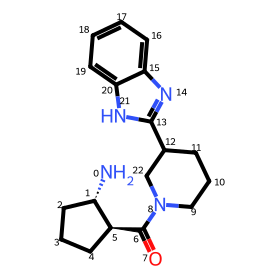 N[C@H]1CCC[C@@H]1C(=O)N1CCCC(c2nc3ccccc3[nH]2)C1